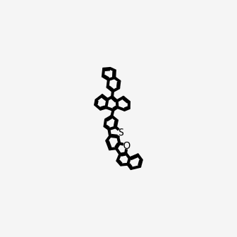 c1ccc2cc(-c3c4ccccc4c(-c4ccc5c(c4)sc4c5ccc5c6ccc7ccccc7c6oc54)c4ccccc34)ccc2c1